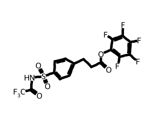 O=C(CCc1ccc(S(=O)(=O)NC(=O)C(F)(F)F)cc1)Oc1c(F)c(F)c(F)c(F)c1F